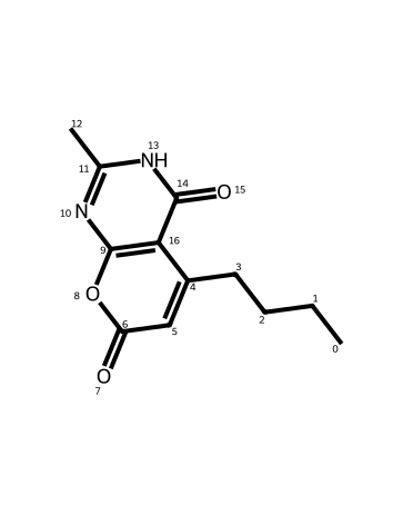 CCCCc1cc(=O)oc2nc(C)[nH]c(=O)c12